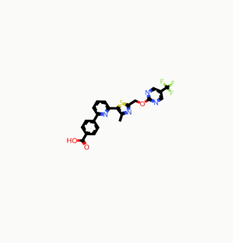 Cc1nc(COc2ncc(C(F)(F)F)cn2)sc1-c1cccc(-c2ccc(C(=O)O)cc2)n1